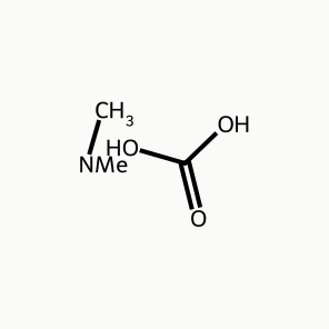 CNC.O=C(O)O